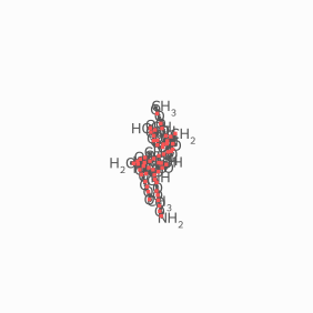 C=C1C[C@H]2[C@H](OCCOCCOCCOCCOC)N(C(=O)OCc3ccc(O[C@@H]4O[C@H](C(=O)O)[C@@H](O)[C@H](O)[C@H]4O)cc3)c3cc(OCCCCCOc4cc5c(cc4OC)C(=O)N4CC(=C)C[C@H]4[C@H](OCCOCCOCCOCCOC)N5C(=O)OCc4ccc(O[C@@H]5O[C@H](C(=O)O)[C@@H](O)[C@H](O)[C@H]5O)c(NC(=O)CCOCCOCCOCCOCCN)c4)c(OC)cc3C(=O)N2C1